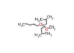 CCCCCO[Si](CC(C)C)(CC(C)C)OC